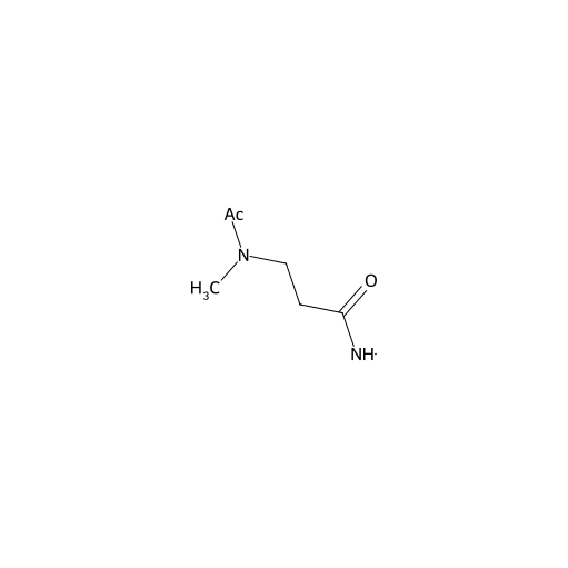 CC(=O)N(C)CCC([NH])=O